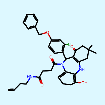 C=CCCNC(=O)CCC(=O)N1C2=CCCC(O)=C2NC2=C(C(=O)CC(C)(C)C2)C1c1ccc(OCc2ccccc2)cc1Cl